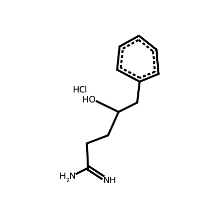 Cl.N=C(N)CCC(O)Cc1ccccc1